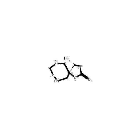 Cl.O=C1NC[C@@]2(CNCCOC2)O1